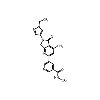 Cc1cc(-c2cncc(C(=O)NC(C)(C)C)c2)nc2c1C(=O)N(c1cnn(CC(F)(F)F)c1)C2